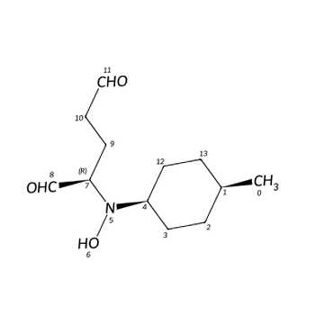 C[C@H]1CC[C@@H](N(O)[C@@H](C=O)CCC=O)CC1